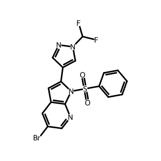 O=S(=O)(c1ccccc1)n1c(-c2cnn(C(F)F)c2)cc2cc(Br)cnc21